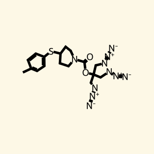 Cc1ccc(SC2CCN(C(=O)OC(CN=[N+]=[N-])(CN=[N+]=[N-])CN=[N+]=[N-])CC2)cc1